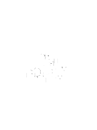 COC1[C@@H]2O[C@H]([C@H]1OC)n1c(cc(=O)[nH]c1=O)[C@H]2OP(=O)(O)O